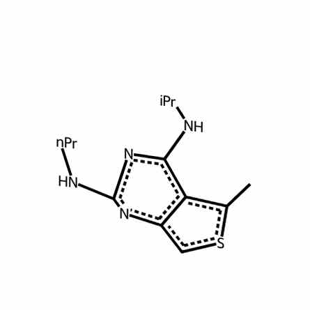 CCCNc1nc(NC(C)C)c2c(C)scc2n1